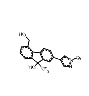 CC(C)n1cc(-c2ccc3c(c2)C(O)(C(F)(F)F)c2cccc(CO)c2-3)cn1